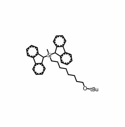 CC(C)(C)OCCCCCCCC[Si](C)(C1c2ccccc2-c2ccccc21)C1c2ccccc2-c2ccccc21